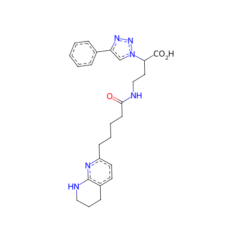 O=C(CCCCc1ccc2c(n1)NCCC2)NCCC(C(=O)O)n1cc(-c2ccccc2)nn1